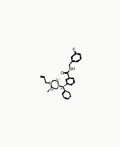 C=CCN1C[C@H](C)N([C@H](C2=CC=CC[CH]2)c2cccc(C(=O)NCc3cccc(F)c3)c2)C[C@H]1C